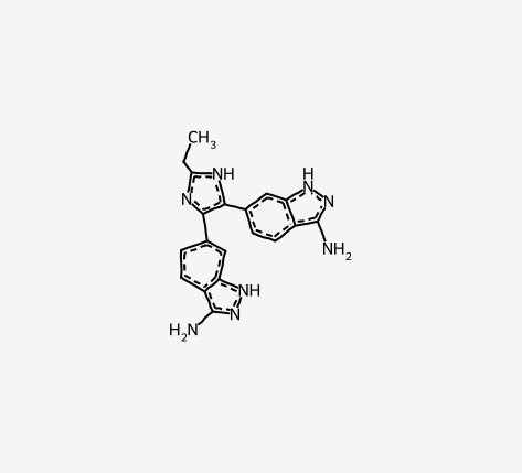 CCc1nc(-c2ccc3c(N)n[nH]c3c2)c(-c2ccc3c(N)n[nH]c3c2)[nH]1